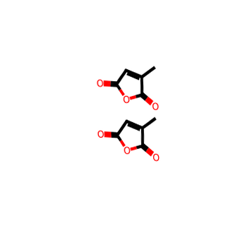 CC1=CC(=O)OC1=O.CC1=CC(=O)OC1=O